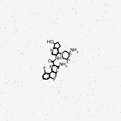 C[C@@H]1C[C@H](N)CN(c2c(NC(=O)c3nc(-c4c(F)cccc4F)c(F)cc3N)cnc3c2CCC3O)C1